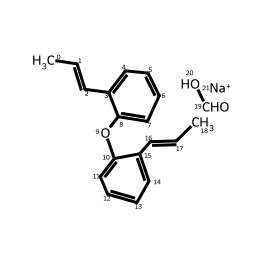 CC=Cc1ccccc1Oc1ccccc1C=CC.O=[C-]O.[Na+]